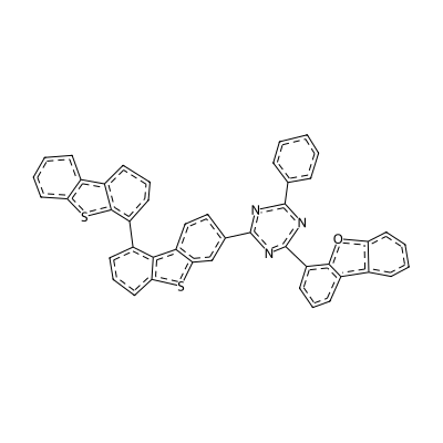 c1ccc(-c2nc(-c3ccc4c(c3)sc3cccc(-c5cccc6c5sc5ccccc56)c34)nc(-c3cccc4c3oc3ccccc34)n2)cc1